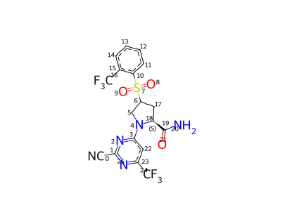 N#Cc1nc(N2CC(S(=O)(=O)c3ccccc3C(F)(F)F)C[C@H]2C(N)=O)cc(C(F)(F)F)n1